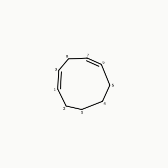 C1=CCCCC/C=C\C1